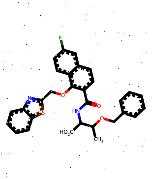 CC(OCc1ccccc1)C(NC(=O)c1ccc2cc(F)ccc2c1OCc1nc2ccccc2s1)C(=O)O